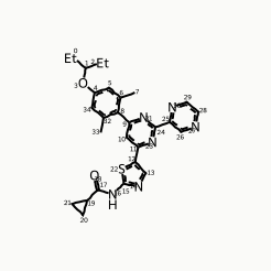 CCC(CC)Oc1cc(C)c(-c2cc(-c3cnc(NC(=O)C4CC4)s3)nc(-c3cnccn3)n2)c(C)c1